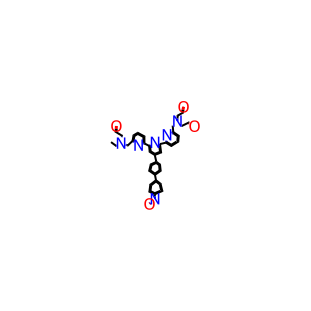 CCN(CC=O)Cc1cccc(-c2cc(-c3ccc(-c4ccc(N=O)cc4)cc3)cc(-c3cccc(CN(CC=O)CC=O)n3)n2)n1